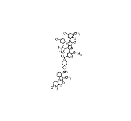 COc1ncc(C(=O)N2CCC3(CC2)CC(Nc2cccc4c2n(C)c(=O)n4C2CCC(=O)NC2=O)C3)cc1-c1nc2c(n1C(C)C)[C@H](c1ccc(Cl)cc1)N(c1cc(Cl)cn(C)c1=O)C2=O